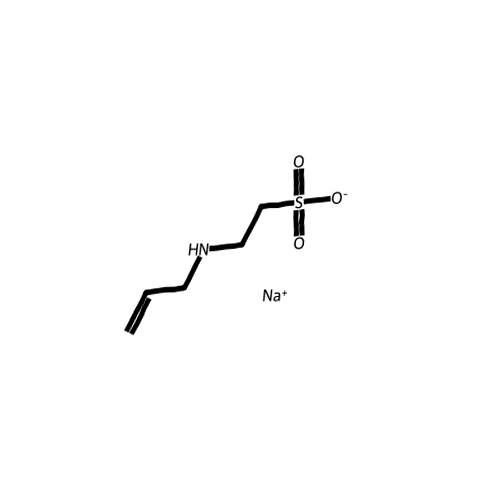 C=CCNCCS(=O)(=O)[O-].[Na+]